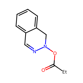 CCC(=O)ON1Cc2ccccc2C=N1